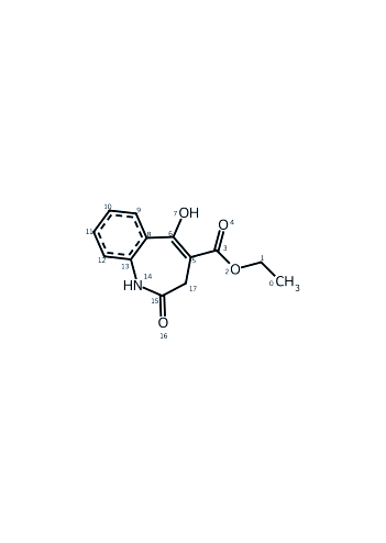 CCOC(=O)C1=C(O)c2ccccc2NC(=O)C1